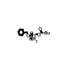 CCCCC(=O)OCOP(N)(=O)OCc1ccccc1